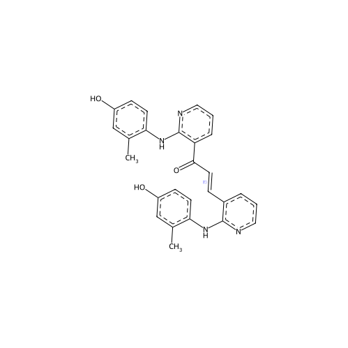 Cc1cc(O)ccc1Nc1ncccc1/C=C/C(=O)c1cccnc1Nc1ccc(O)cc1C